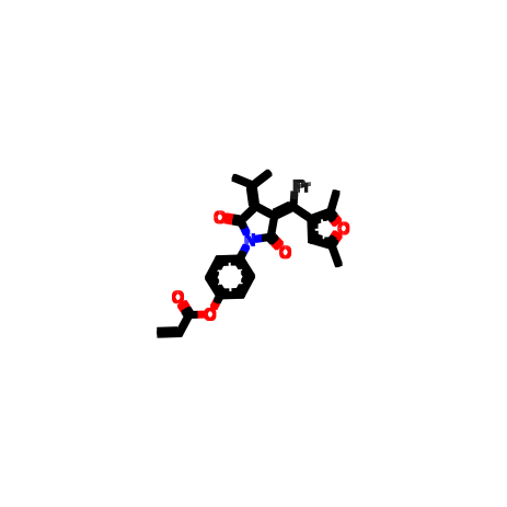 C=CC(=O)Oc1ccc(N2C(=O)C(=C(C)C)C(=C(c3cc(C)oc3C)C(C)C)C2=O)cc1